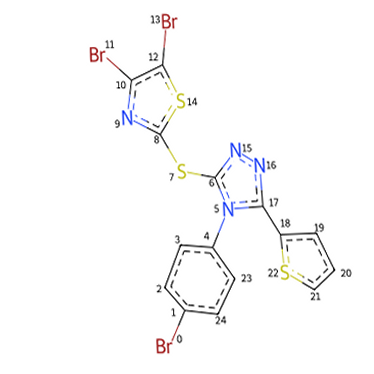 Brc1ccc(-n2c(Sc3nc(Br)c(Br)s3)nnc2-c2cccs2)cc1